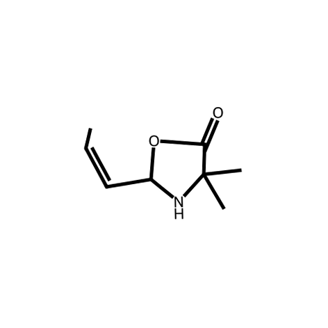 C/C=C\C1NC(C)(C)C(=O)O1